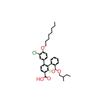 CCCCCCCCOc1ccc(-c2ccc(C(=O)O)c(F)c2-c2ccccc2C(=O)OCC(C)CC)cc1Cl